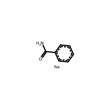 NC(=O)c1ccccc1.[Na]